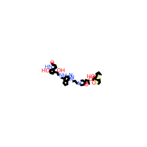 O=C(O[C@@H]1COC2(CCN(CCCn3nnc4cc(CNC[C@H](O)c5ccc(O)c6[nH]c(=O)ccc56)c5c(c43)CCC5)CC2)C1)C(O)(c1cccs1)c1cccs1